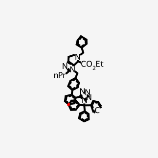 CCCc1nc2c(n1Cc1ccc(-c3ccccc3-c3nnnn3C(c3ccccc3)(c3ccccc3)c3ccccc3)cc1)C(C(=O)OCC)N(Cc1ccccc1)CC2